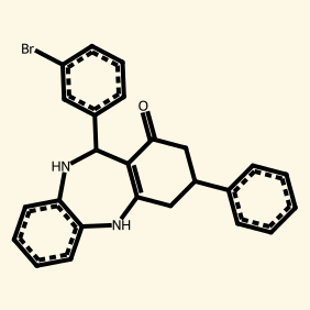 O=C1CC(c2ccccc2)CC2=C1C(c1cccc(Br)c1)Nc1ccccc1N2